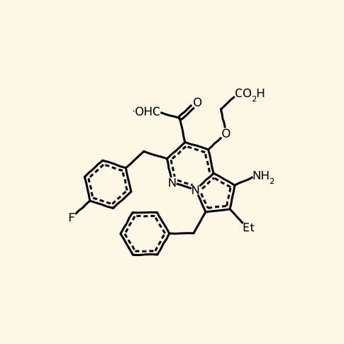 CCc1c(N)c2c(OCC(=O)O)c(C(=O)[C]=O)c(Cc3ccc(F)cc3)nn2c1Cc1ccccc1